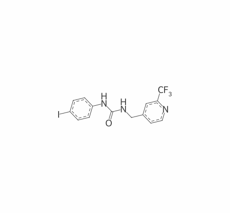 O=C(NCc1ccnc(C(F)(F)F)c1)Nc1ccc(I)cc1